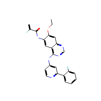 C=C(F)C(=O)Nc1cc2c(Nc3ccnc(-c4ccccc4F)c3)ncnc2cc1OCC